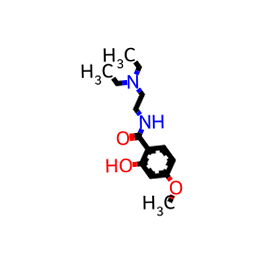 CCN(CC)CCNC(=O)c1ccc(OC)cc1O